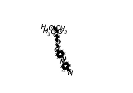 CCC(C)(C)C(=O)OCCOCCOc1ccc(N=Nc2ccc(C#N)cc2)cc1